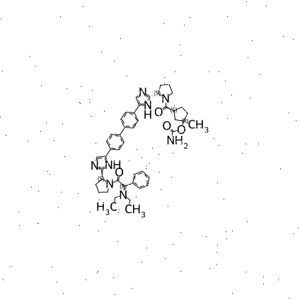 CCN(CC)[C@@H](C(=O)N1CCC[C@H]1c1ncc(-c2ccc(-c3ccc(-c4cnc([C@@H]5CCCN5C(=O)[C@H]5CC[C@@](C)(OC(N)=O)C5)[nH]4)cc3)cc2)[nH]1)c1ccccc1